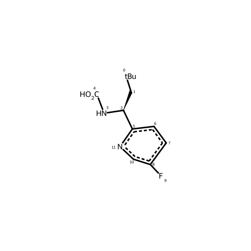 CC(C)(C)C[C@H](NC(=O)O)c1ccc(F)cn1